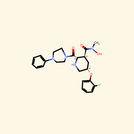 CN(O)C(=O)[C@H]1C[C@H](Oc2ccccc2F)CN[C@@H]1C(=O)N1CCN(c2ccccc2)CC1